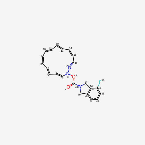 O=C(ON1/C=C/C=C/C=C\C=C\C=C\C=C/C=N/1)N1Cc2cccc(F)c2C1